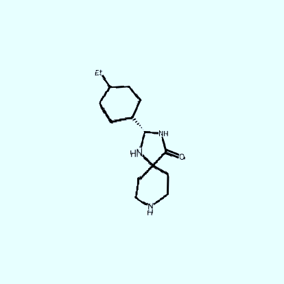 CCC1CCC([C@@H]2NC(=O)C3(CCNCC3)N2)CC1